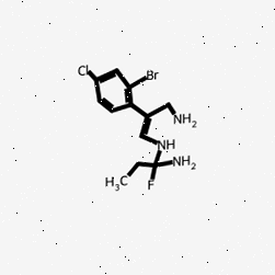 CCC(N)(F)N/C=C(\CN)c1ccc(Cl)cc1Br